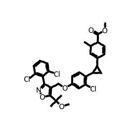 COC(=O)C1C=CC(C2CC2c2ccc(OCc3c(-c4c(Cl)cccc4Cl)noc3C(C)(C)OC)cc2Cl)=CC1C